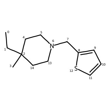 CCC1(C)CCN(Cc2cccs2)CC1